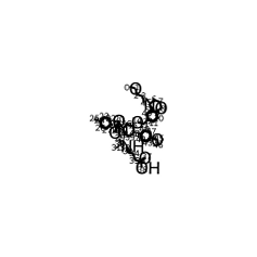 COCCCN1CCOc2ccc(CO[C@H]3CN(S(=O)(=O)c4ccc(C)cc4)[C@@H](C[C@H](C)NCCCC(=O)O)C[C@@H]3c3ccc(OC)cc3)cc21